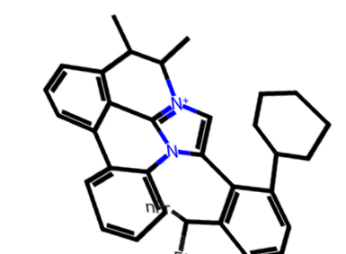 CCCC(CC)c1cccc(C2CCCCC2)c1-c1c[n+]2c3c4c(cccc4c4ccccc4n13)C(C)C2C